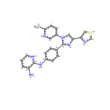 Cc1ccc(-n2cc(-c3cscn3)nc2-c2ccc(Nc3ncccc3N)cc2)cn1